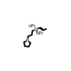 CC=C[Si](CCC)(CCC)CCCN1CCCC1